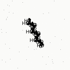 CCC(C)NCC(=O)N(CC(=O)N(CC(=O)N(CC(=O)N(CC(=O)N(CC(=O)N(CC(=O)N(CC(=O)N(CC(=O)N(CC(=O)N(CC(=O)N(CC=O)CC(C)O)C(C)CC)CC(C)O)C(C)CC)CC(C)O)C(C)CC)CC(C)O)C(C)CC)CC(C)O)C(C)CC)CC(C)O